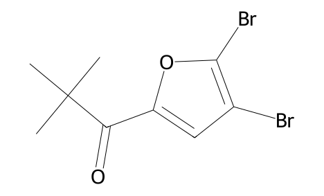 CC(C)(C)C(=O)c1cc(Br)c(Br)o1